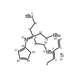 C=CC=CC.CC(C)(C)CCP(CCC(C)(C)C)(CCC(C)(C)C)=NC1=CC=CC1.[Ti]